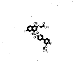 CCOc1cc(-c2ccc(S(=O)(=O)Nc3cc(SCC(=O)O)c(O)c4ccc(F)cc34)cc2)ccc1F